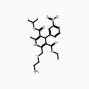 CCOC(=O)C1=C(CSCCN)NC(C)=C(C(=O)OC(C)C)C1c1cccc([N+](=O)[O-])c1